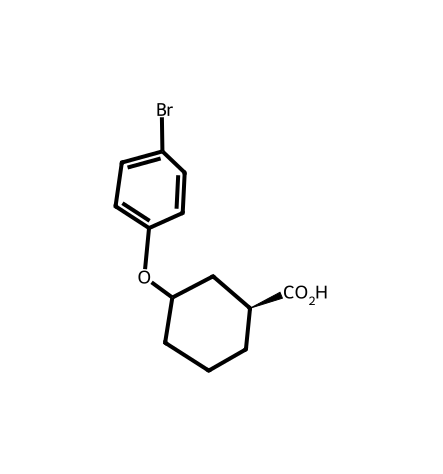 O=C(O)[C@H]1CCCC(Oc2ccc(Br)cc2)C1